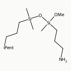 CCCC(C)CCC[Si](C)(C)O[Si](C)(CCCN)OC